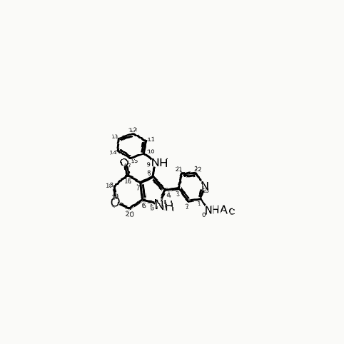 CC(=O)Nc1cc(-c2[nH]c3c(c2Nc2ccccc2)C(=O)COC3)ccn1